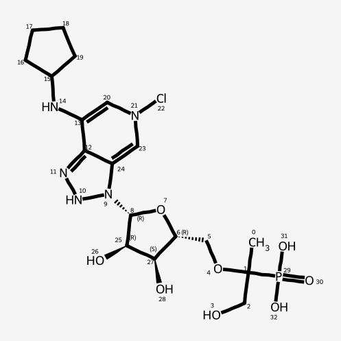 CC(CO)(OC[C@H]1O[C@@H](N2NN=C3C(NC4CCCC4)=CN(Cl)C=C32)[C@H](O)[C@@H]1O)P(=O)(O)O